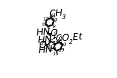 CCOC(=O)C[C@@]1(NC(=O)Nc2ccc(C)cc2)C(=O)Nc2ccccc21